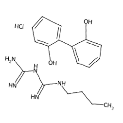 CCCCNC(=N)NC(=N)N.Cl.Oc1ccccc1-c1ccccc1O